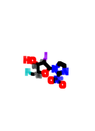 O=[N+]([O-])c1nccn1C1O[C@H](CF)[C@@H](O)[C@H]1I